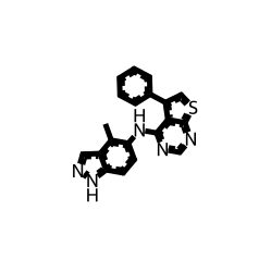 Cc1c(Nc2ncnc3scc(-c4ccccc4)c23)ccc2[nH]ncc12